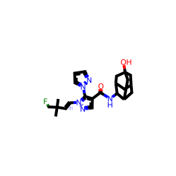 CC(C)(/C=C/n1ncc(C(=O)NC2C3CC4CC2CC(O)(C4)C3)c1-n1cccn1)CF